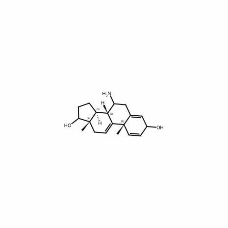 C[C@]12C=CC(O)C=C1CC(N)[C@@H]1C2=CC[C@]2(C)C(O)CC[C@@H]12